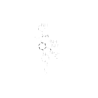 NN/N=C(\N)c1c(N2CCN(CCO)CC2)ccc([S+]([O-])NC2CCNC2)c1[S+](N)[O-]